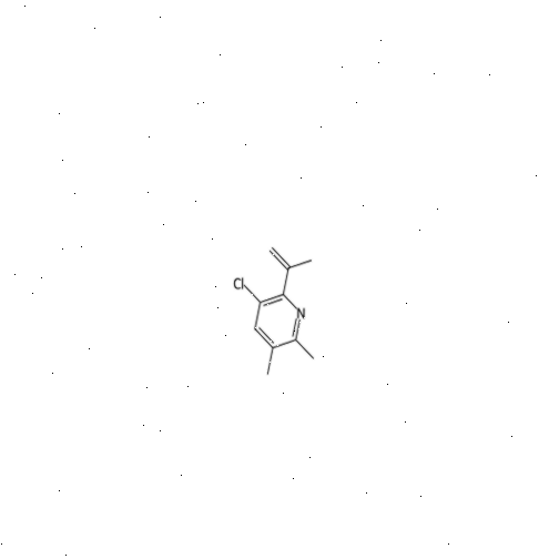 C=C(C)c1nc(C)c(C)cc1Cl